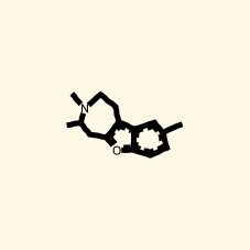 Cc1ccc2oc3c(c2c1)CCN(C)C(C)C3